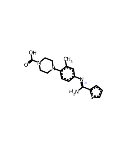 Cc1cc(/N=C(\N)c2cccs2)ccc1N1CCN(C(=O)O)CC1